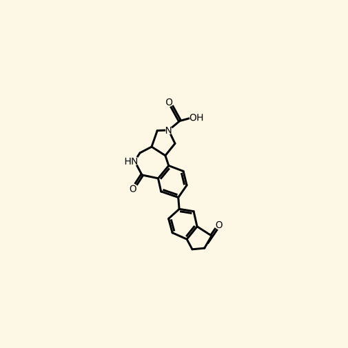 O=C1CCc2ccc(-c3ccc4c(c3)C(=O)NCC3CN(C(=O)O)CC43)cc21